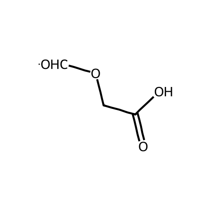 O=[C]OCC(=O)O